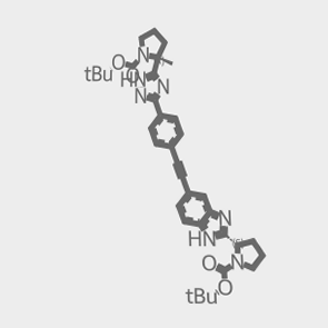 CC(C)(C)OC(=O)N1CCC[C@H]1c1nc2cc(C#Cc3ccc(-c4n[nH]c([C@@]5(C)CCCN5C(=O)OC(C)(C)C)n4)cc3)ccc2[nH]1